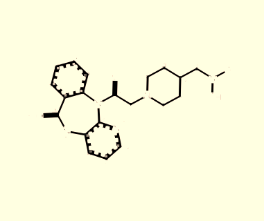 CC(=O)N(C)CC1CCN(CC(=O)N2c3ccccc3C(=O)Nc3cccnc32)CC1